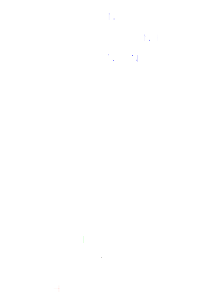 CC12CCC/C(=C\CN(N)/N=C(\N)c3ccccc3)C1CCC2CCCC(F)(F)C(C)(C)O